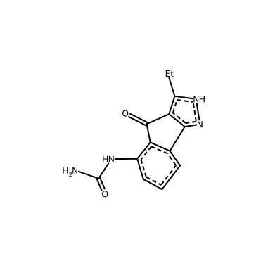 CCc1[nH]nc2c1C(=O)c1c(NC(N)=O)cccc1-2